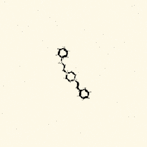 C(=CN1CCN(CCOc2ccccc2)CC1)c1ccccc1